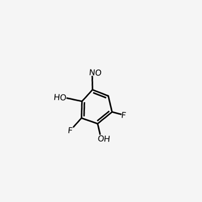 O=Nc1cc(F)c(O)c(F)c1O